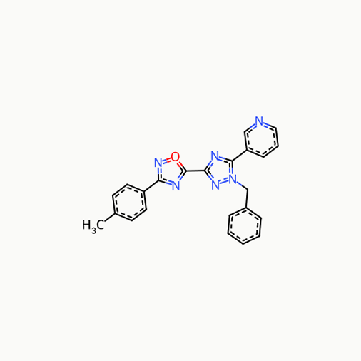 Cc1ccc(-c2noc(-c3nc(-c4cccnc4)n(Cc4ccccc4)n3)n2)cc1